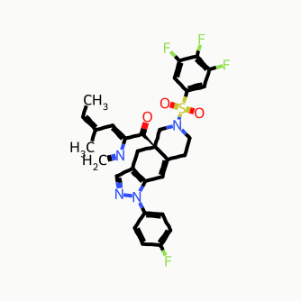 C=N/C(=C\C(C)=C/C)C(=O)[C@]12Cc3cnn(-c4ccc(F)cc4)c3C=C1CCN(S(=O)(=O)c1cc(F)c(F)c(F)c1)C2